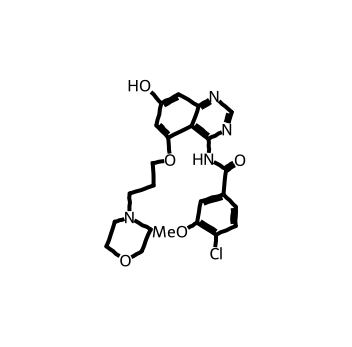 COc1cc(C(=O)Nc2ncnc3cc(O)cc(OCCCN4CCOCC4)c23)ccc1Cl